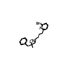 CC(C#N)(CCCCCc1cccc(Br)n1)Cc1ccccc1